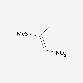 CS/C(C)=C/[N+](=O)[O-]